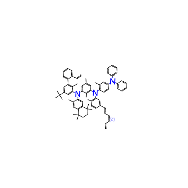 C=C/C=C\C=Cc1ccc(C)c(N(c2ccc(N(c3ccccc3)c3ccccc3)cc2C)c2cc(C)cc(N(c3cc4c(cc3C)C(C)(C)CCC4(C)C)c3cc(C(C)(C)C)cc(-c4ccccc4C=C)c3C)c2C)c1